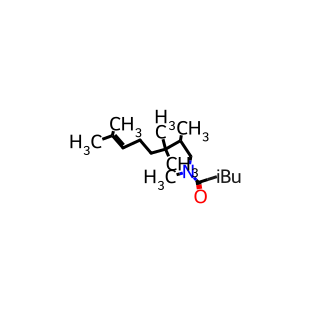 CCC(C)C(=O)N(C)CC(C)C(C)(C)CCC=C(C)C